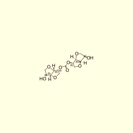 O=C(O[C@@H]1CO[C@H]2[C@@H]1OC[C@H]2O)O[C@@H]1CO[C@H]2[C@@H]1OC[C@H]2O